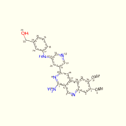 COc1cc2ncc3c(N)nc(-c4cncc(Nc5cccc(CO)c5)c4)cc3c2cc1OC